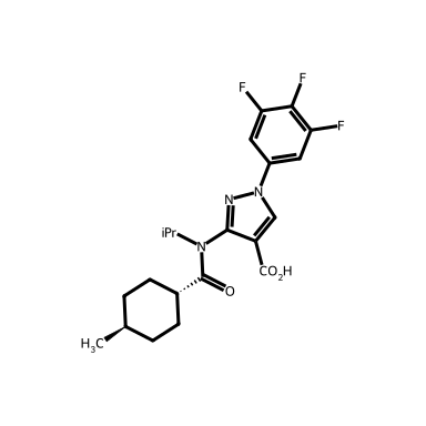 CC(C)N(c1nn(-c2cc(F)c(F)c(F)c2)cc1C(=O)O)C(=O)[C@H]1CC[C@H](C)CC1